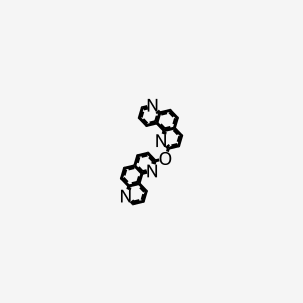 c1cnc2ccc3ccc(Oc4ccc5ccc6ncccc6c5n4)nc3c2c1